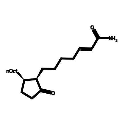 CCCCCCCC[C@H]1CCC(=O)[C@@H]1CCCCC=CC(N)=O